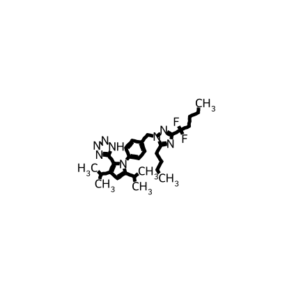 CCCCc1nc(C(F)(F)CCCC)nn1Cc1ccc(-n2c(C(C)C)cc(C(C)C)c2-c2nnn[nH]2)cc1